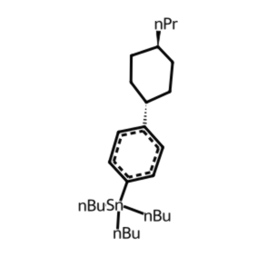 CCC[CH2][Sn]([CH2]CCC)([CH2]CCC)[c]1ccc([C@H]2CC[C@H](CCC)CC2)cc1